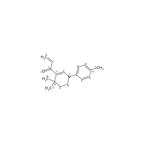 C=CC(=O)C1=CN(c2ccc(C)cc2)CCC1(C)C